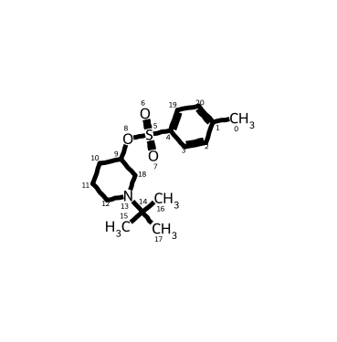 Cc1ccc(S(=O)(=O)OC2CCCN(C(C)(C)C)C2)cc1